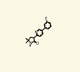 CN1C(=O)C(c2ccc(-c3cccc(F)c3)cn2)CC1(C)C